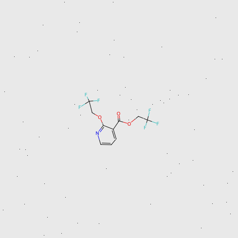 O=C(OCC(F)(F)F)c1cccnc1OCC(F)(F)F